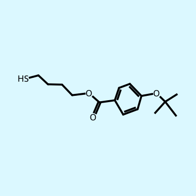 CC(C)(C)Oc1ccc(C(=O)OCCCCS)cc1